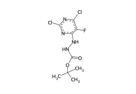 CC(C)(C)OC(=O)NNc1nc(Cl)nc(Cl)c1F